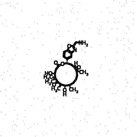 CC1C(=O)C(C)(C)[C@@H](O)CC(=O)O[C@H](c2ccc3oc(CN)nc3c2)C[C@@H]2O[C@]2(C)CCC[C@H](C)[C@@H]1O